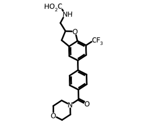 O=C(O)NCC1Cc2cc(-c3ccc(C(=O)N4CCOCC4)cc3)cc(C(F)(F)F)c2O1